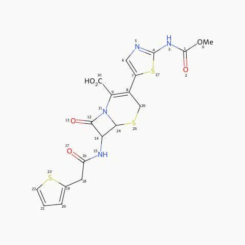 COC(=O)Nc1ncc(C2=C(C(=O)O)N3C(=O)C(NC(=O)Cc4cccs4)C3SC2)s1